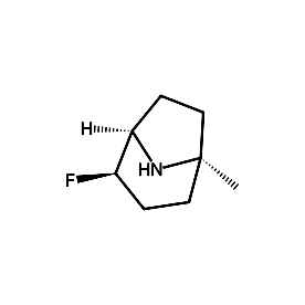 C[C@@]12CC[C@@H](F)[C@@H](CC1)N2